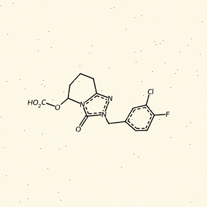 O=C(O)OC1CCCc2nn(Cc3ccc(F)c(Cl)c3)c(=O)n21